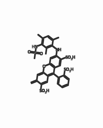 C=c1cc2c(cc1S(=O)(=O)O)=C(c1ccccc1S(=O)(=O)O)c1cc(S(=O)(=O)O)c(Nc3c(C)cc(C)c(NS(C)(=O)=O)c3C)cc1O2